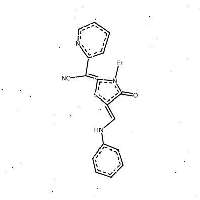 CCn1c(=C(C#N)c2ccccn2)sc(=CNc2ccccc2)c1=O